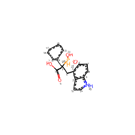 O=C(O)C(Cc1cccc2[nH]ccc12)(c1ccccc1)[PH](=O)O